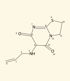 C=CCNC1C(=O)N=C2SCCN2C1=O